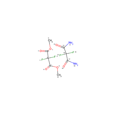 COC(=O)C(F)(F)C(=O)OC.NC(=O)C(F)(F)C(N)=O